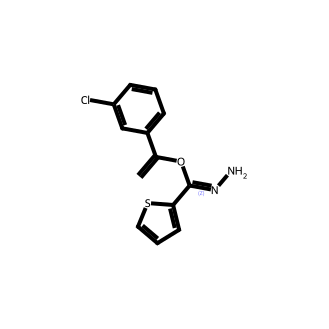 C=C(O/C(=N\N)c1cccs1)c1cccc(Cl)c1